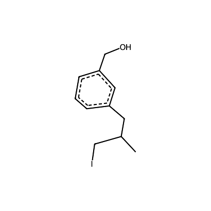 CC(CI)Cc1cccc(CO)c1